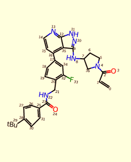 C=CC(=O)N1CCC(Nc2n[nH]c3nccc(-c4ccc(CNC(=O)c5ccc(C(C)(C)C)cc5)c(F)c4)c23)C1